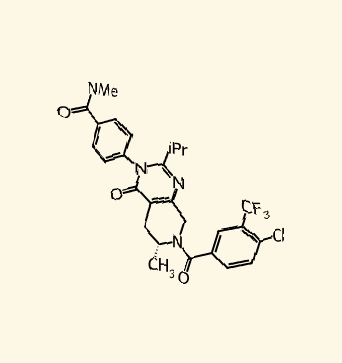 CNC(=O)c1ccc(-n2c(C(C)C)nc3c(c2=O)C[C@@H](C)N(C(=O)c2ccc(Cl)c(C(F)(F)F)c2)C3)cc1